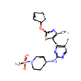 Cc1nc(OC2CCCC2)sc1-c1nc(NC2CCN(S(C)(=O)=O)CC2)ncc1F